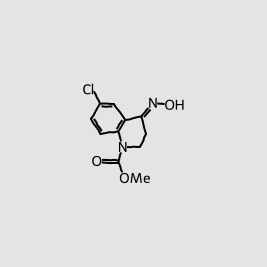 COC(=O)N1CCC(=NO)c2cc(Cl)ccc21